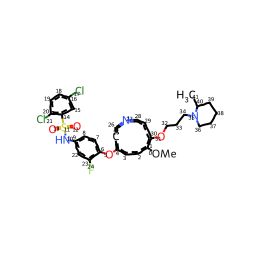 COc1ccc(Oc2ccc(NS(=O)(=O)c3cc(Cl)ccc3Cl)cc2F)ccnccc1OCCCN1CCCCC1C